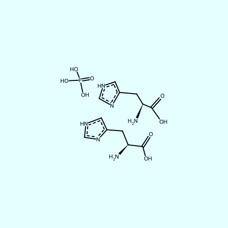 N[C@@H](Cc1c[nH]cn1)C(=O)O.N[C@@H](Cc1c[nH]cn1)C(=O)O.O=P(O)(O)O